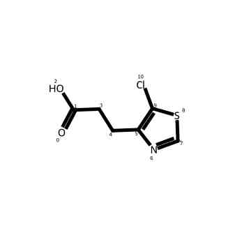 O=C(O)CCc1n[c]sc1Cl